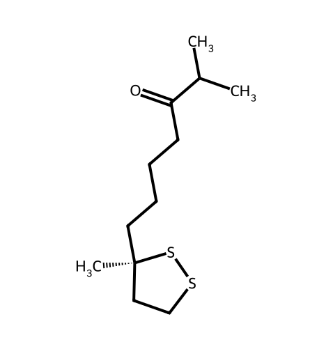 CC(C)C(=O)CCCC[C@]1(C)CCSS1